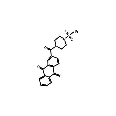 CCCS(=O)(=O)N1CCN(C(=O)c2ccc3c(c2)C(=O)c2ccccc2C3=O)CC1